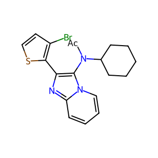 CC(=O)N(c1c(-c2sccc2Br)nc2ccccn12)C1CCCCC1